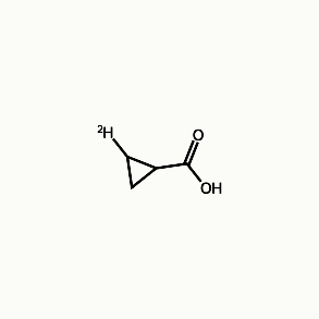 [2H]C1CC1C(=O)O